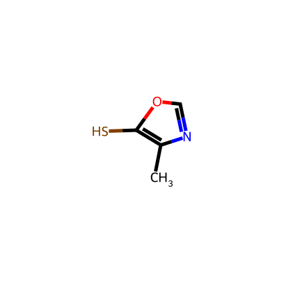 Cc1ncoc1S